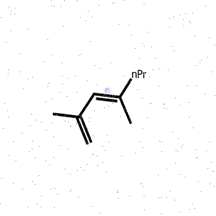 C=C(C)/C=C(\C)CCC